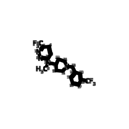 CN(c1ccc(C(F)(F)F)nn1)C1CCN(Cc2cccc(C(F)(F)F)c2)CC1